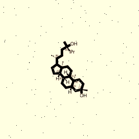 CC(C)[C@@](C)(O)CC[C@@H](C)C1CC[C@H]2[C@@H]3CC[C@H]4C[C@@](C)(O)CC[C@]4(C)[C@H]3CC[C@]12C